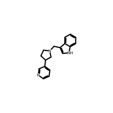 c1cncc(C2CCN(Cc3c[nH]c4ccccc34)C2)c1